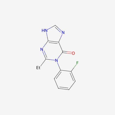 CCc1nc2[nH]cnc2c(=O)n1-c1ccccc1F